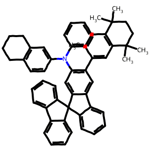 Cc1cc2c(cc1-c1cc3c(cc1N(c1ccccc1)c1ccc4c(c1)CCCC4)C1(c4ccccc4-c4ccccc41)c1ccccc1-3)C(C)(C)CCC2(C)C